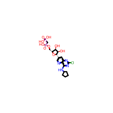 O=P(O)(O)CP(=O)(O)OC[C@H]1O[C@@H](c2cnc3c(NC4CCCC4)nc(Cl)nc3c2)[C@H](O)[C@@H]1O